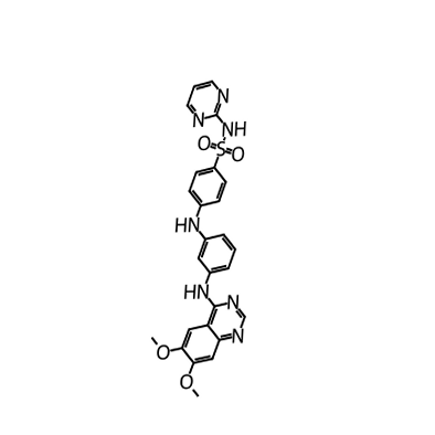 COc1cc2ncnc(Nc3cccc(Nc4ccc(S(=O)(=O)Nc5ncccn5)cc4)c3)c2cc1OC